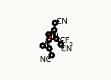 N#Cc1cccc(-c2ccc3c(c2)c2ccccc2n3-c2ccc(C#N)c(-c3cc(-c4ccc(C#N)cc4C(F)(F)F)ccc3-n3c4ccccc4c4cc(-c5cccc(C#N)c5)ccc43)c2)c1